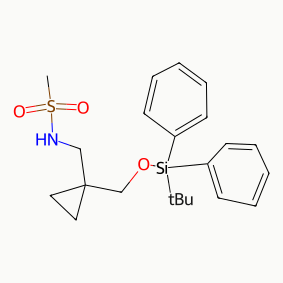 CC(C)(C)[Si](OCC1(CNS(C)(=O)=O)CC1)(c1ccccc1)c1ccccc1